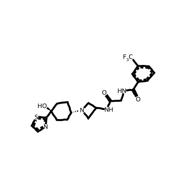 O=C(CNC(=O)c1cccc(C(F)(F)F)c1)NC1CN([C@H]2CC[C@@](O)(c3nccs3)CC2)C1